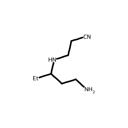 CCC(CCN)NCCC#N